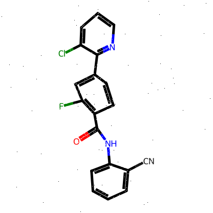 N#Cc1ccccc1NC(=O)c1ccc(-c2ncccc2Cl)cc1F